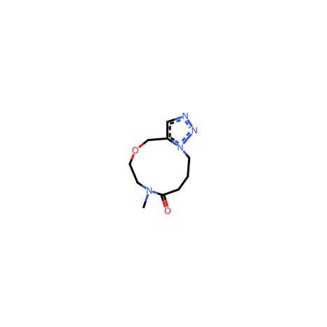 CN1CCOCc2cnnn2CCCC1=O